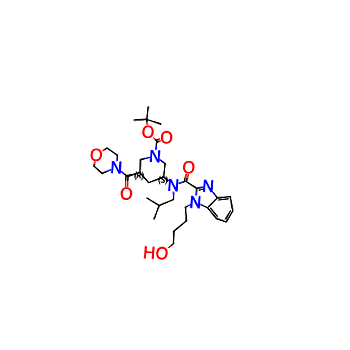 CC(C)CN(C(=O)c1nc2ccccc2n1CCCCO)[C@H]1C[C@@H](C(=O)N2CCOCC2)CN(C(=O)OC(C)(C)C)C1